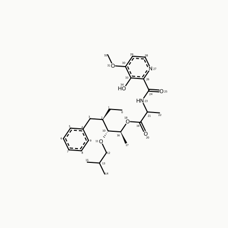 CC[C@H](Cc1ccccc1)[C@@H](OCC(C)C)[C@H](C)OC(=O)C(C)NC(=O)c1nccc(OC)c1O